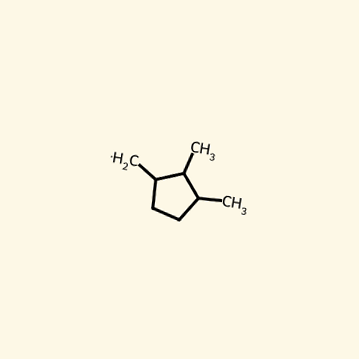 [CH2]C1CCC(C)C1C